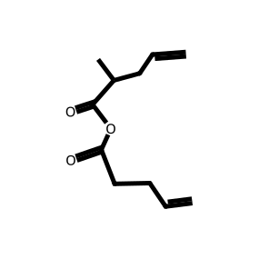 C=CCCC(=O)OC(=O)C(C)CC=C